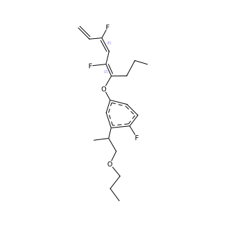 C=C/C(F)=C\C(F)=C(/CCC)Oc1ccc(F)c(C(C)COCCC)c1